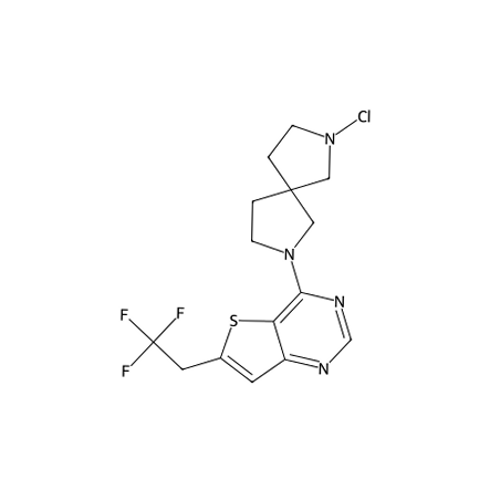 FC(F)(F)Cc1cc2ncnc(N3CCC4(CCN(Cl)C4)C3)c2s1